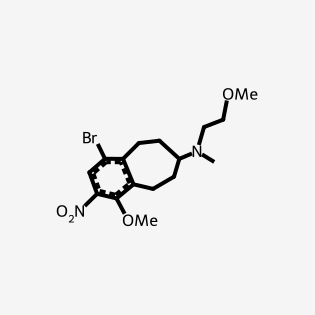 COCCN(C)C1CCc2c(Br)cc([N+](=O)[O-])c(OC)c2CC1